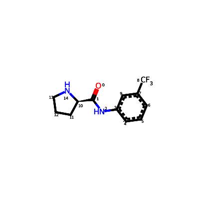 O=C(Nc1[c]ccc(C(F)(F)F)c1)[C@H]1CCCN1